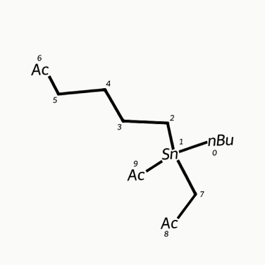 CCC[CH2][Sn]([CH2]CCCC(C)=O)([CH2]C(C)=O)[C](C)=O